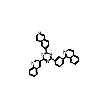 c1cc(-c2nc(-c3ccc4cnccc4c3)nc(-c3cnc4ccccc4c3)n2)cc(-c2nccc3ccccc23)c1